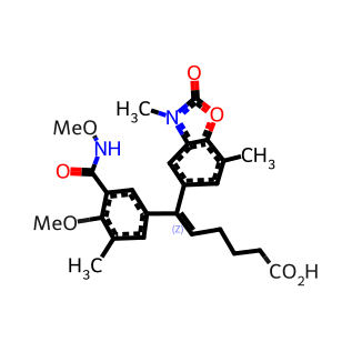 CONC(=O)c1cc(/C(=C/CCCC(=O)O)c2cc(C)c3oc(=O)n(C)c3c2)cc(C)c1OC